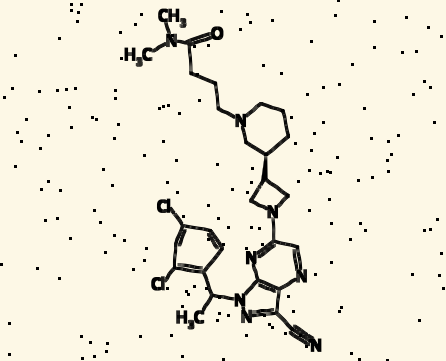 CC(c1ccc(Cl)cc1Cl)n1nc(C#N)c2ncc(N3CC([C@@H]4CCCN(CCCC(=O)N(C)C)C4)C3)nc21